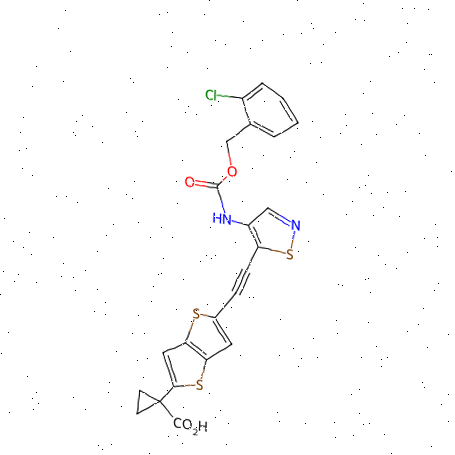 O=C(Nc1cnsc1C#Cc1cc2sc(C3(C(=O)O)CC3)cc2s1)OCc1ccccc1Cl